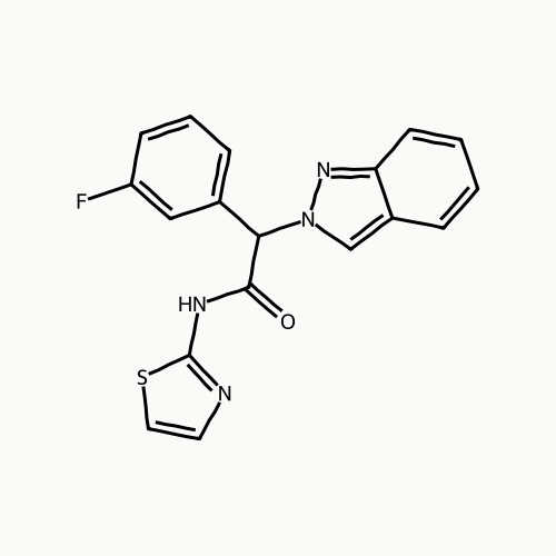 O=C(Nc1nccs1)C(c1cccc(F)c1)n1cc2ccccc2n1